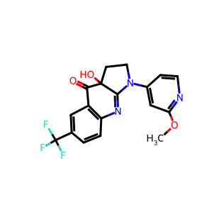 COc1cc(N2CCC3(O)C(=O)c4cc(C(F)(F)F)ccc4N=C23)ccn1